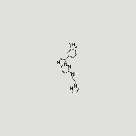 Nc1cccc(-c2cnc3ccc(NCCn4cccn4)nn23)c1